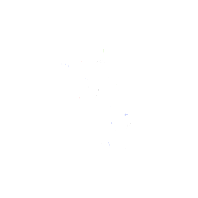 CN1CCCc2c1nc(N1CCC3(CC1)C(=O)N(CC(N)=O)c1cc(F)cc(F)c13)[nH]c2=O